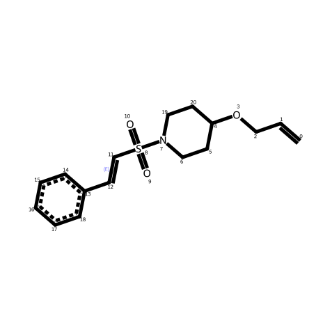 C=CCOC1CCN(S(=O)(=O)/C=C/c2ccccc2)CC1